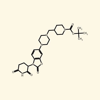 CC(C)(C)OC(=O)N1CCC(CN2CCN(c3ccc4c(c3)oc(=O)n4C3CCC(=O)NC3=O)CC2)CC1